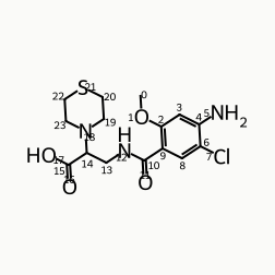 COc1cc(N)c(Cl)cc1C(=O)NCC(C(=O)O)N1CCSCC1